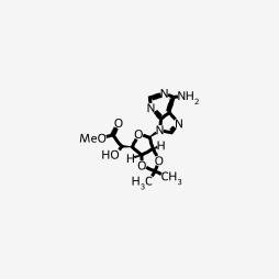 COC(=O)C(O)[C@H]1O[C@@H](n2cnc3c(N)ncnc32)[C@@H]2OC(C)(C)O[C@@H]21